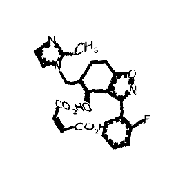 Cc1nccn1CC1CCc2onc(-c3ccccc3F)c2C1=O.O=C(O)/C=C\C(=O)O